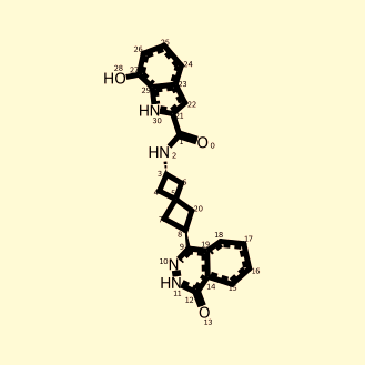 O=C(N[C@H]1CC2(C1)C[C@H](c1n[nH]c(=O)c3ccccc31)C2)c1cc2cccc(O)c2[nH]1